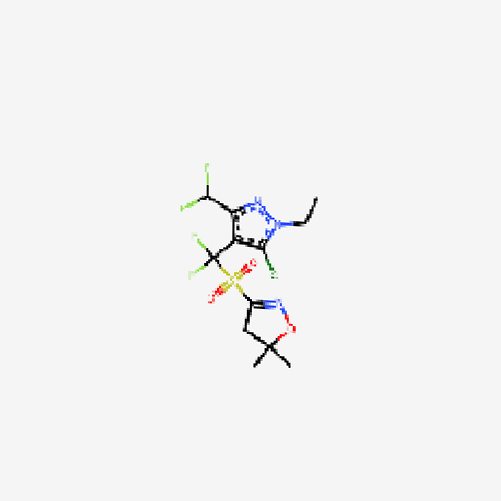 CCn1nc(C(F)F)c(C(F)(F)S(=O)(=O)C2=NOC(C)(C)C2)c1Cl